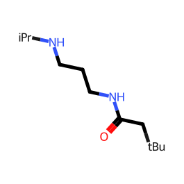 CC(C)NCCCNC(=O)CC(C)(C)C